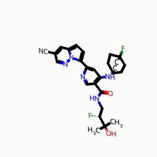 CC(C)(O)[C@H](F)CNC(=O)c1cnc(-c2ccc3cc(C#N)cnn23)cc1NC12CCC(F)(CC1)CC2